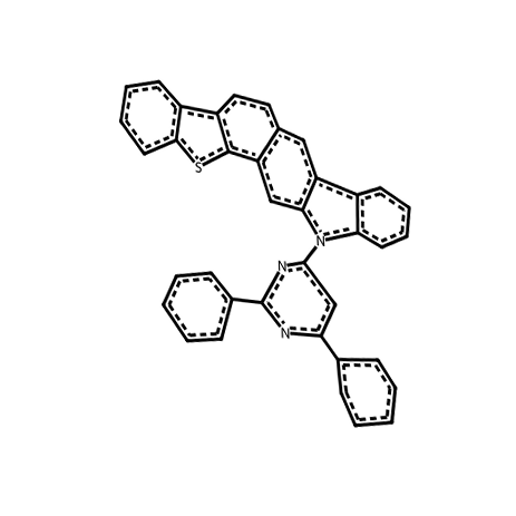 c1ccc(-c2cc(-n3c4ccccc4c4cc5ccc6c7ccccc7sc6c5cc43)nc(-c3ccccc3)n2)cc1